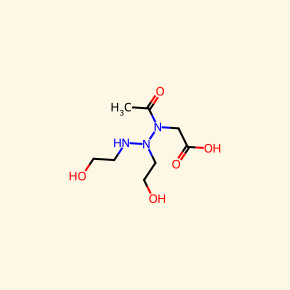 CC(=O)N(CC(=O)O)N(CCO)NCCO